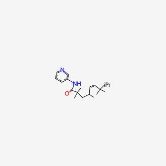 CC(/C=C\C(C)(C)C(C)C)CC(C)(C)C(=O)Nc1cccnc1